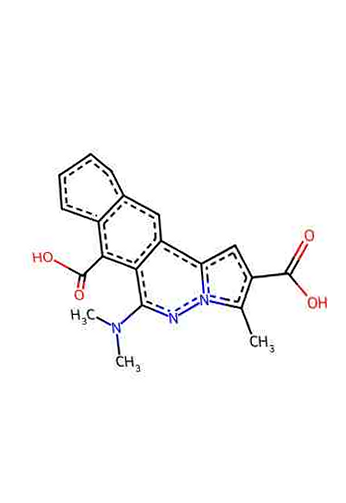 Cc1c(C(=O)O)cc2c3cc4ccccc4c(C(=O)O)c3c(N(C)C)nn12